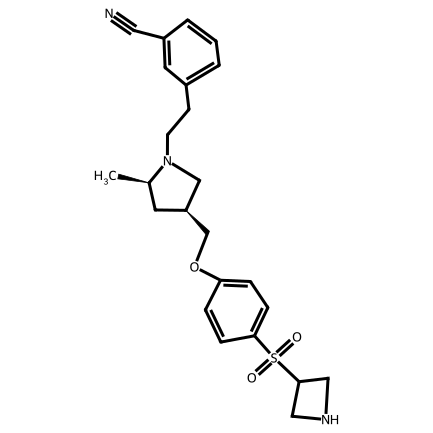 C[C@@H]1C[C@H](COc2ccc(S(=O)(=O)C3CNC3)cc2)CN1CCc1cccc(C#N)c1